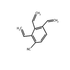 C=Cc1ccc(C#N)c(C=C)c1C=C